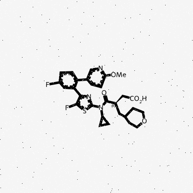 COc1ccc(-c2ccc(F)cc2-c2nc(N(C(=O)[C@@H](CC(=O)O)CC3CCOCC3)C3CC3)sc2F)cn1